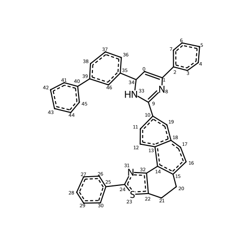 C1=C(c2ccccc2)N=C(c2ccc3c4c(ccc3c2)CCc2sc(-c3ccccc3)nc2-4)NC1c1cccc(-c2ccccc2)c1